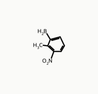 Bc1cccc([N+](=O)[O-])c1C